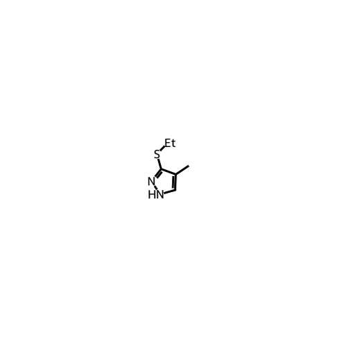 CCSc1n[nH]cc1C